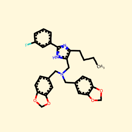 CCCCc1nc(-c2cccc(F)c2)[nH]c1CN(Cc1ccc2c(c1)OCO2)Cc1ccc2c(c1)OCO2